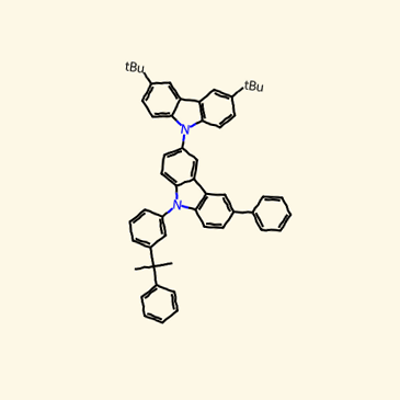 CC(C)(C)c1ccc2c(c1)c1cc(C(C)(C)C)ccc1n2-c1ccc2c(c1)c1cc(-c3ccccc3)ccc1n2-c1cccc(C(C)(C)c2ccccc2)c1